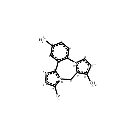 Cc1ccc2c(c1)-c1nnc(Br)n1Cc1c(C)ncn1-2